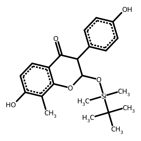 Cc1c(O)ccc2c1OC(O[Si](C)(C)C(C)(C)C)C(c1ccc(O)cc1)C2=O